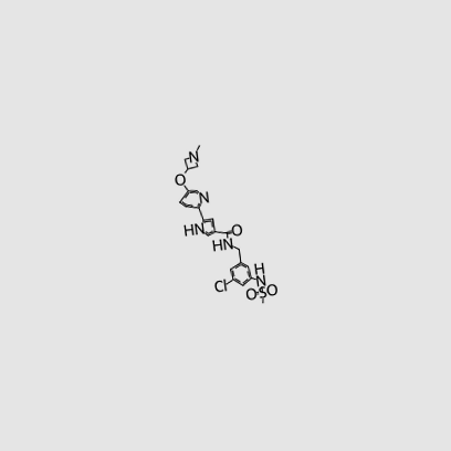 CN1CC(Oc2ccc(-c3cc(C(=O)NCc4cc(Cl)cc(NS(C)(=O)=O)c4)c[nH]3)nc2)C1